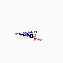 CCC/C=C/C[C@H](N)c1nc(-c2ccc(NC(=O)OC)cc2NC=O)c(C)[nH]1